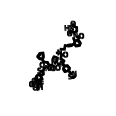 CN(CCCC#Cc1cccc2c1CN(C1CCC(=O)NC1=O)C2=O)C(=O)CCN(C(=O)[C@@H]1CCCN1C(=O)C(CCc1ccccc1)NC(=O)c1cc2cc(C(F)(F)P(=O)(O)O)ccc2s1)c1ccc(-c2nccs2)cc1